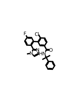 Cn1ccnc1-c1ccc(F)cc1-c1cc(C(=O)NC(C)(C)c2ccccc2)ccc1Cl